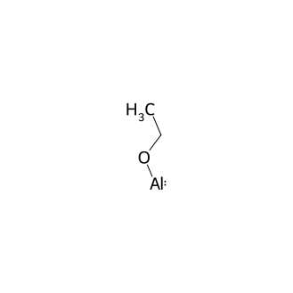 CC[O][Al]